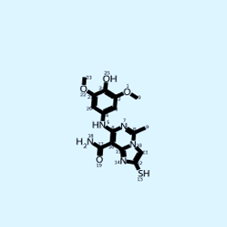 COc1cc(Nc2nc(C)n3cc(S)nc3c2C(N)=O)cc(OC)c1O